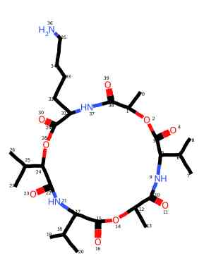 CC1OC(=O)C(C(C)C)NC(=O)C(C)OC(=O)C(C(C)C)NC(=O)C(C(C)C)OC(=O)C(CCCCN)NC1=O